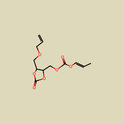 C=CCOCC1OC(=O)OC1COC(=O)OC=CC